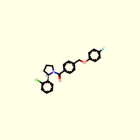 O=C(c1ccc(COc2ccc(F)cc2)cc1)N1CCC[C@@H]1c1ccccc1Cl